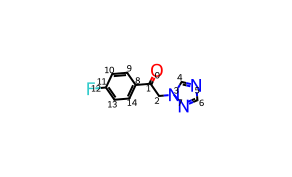 O=C(Cn1cncn1)c1ccc(F)cc1